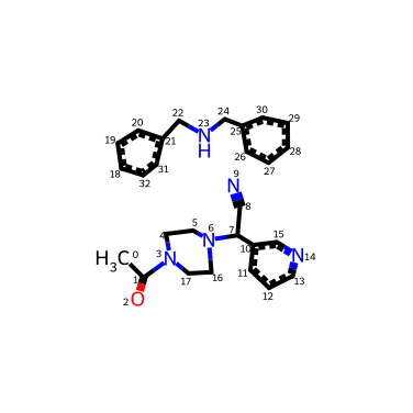 CC(=O)N1CCN(C(C#N)c2cccnc2)CC1.c1ccc(CNCc2ccccc2)cc1